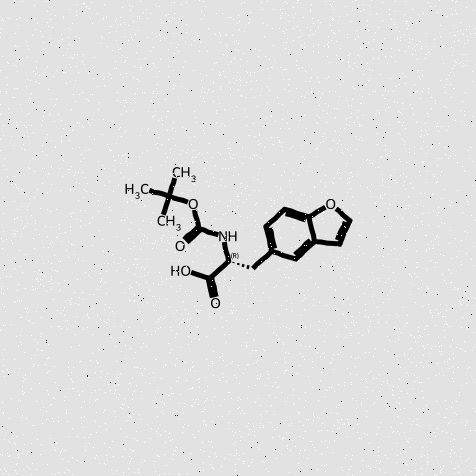 CC(C)(C)OC(=O)N[C@H](Cc1ccc2occc2c1)C(=O)O